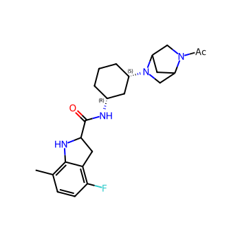 CC(=O)N1CC2CC1CN2[C@H]1CCC[C@@H](NC(=O)C2Cc3c(F)ccc(C)c3N2)C1